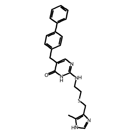 Cc1[nH]cnc1CSCCNc1ncc(Cc2ccc(-c3ccccc3)cc2)c(=O)[nH]1